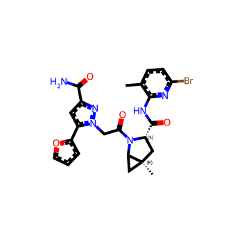 Cc1ccc(Br)nc1NC(=O)[C@@H]1C[C@@]2(C)CC2N1C(=O)Cn1nc(C(N)=O)cc1-c1ccco1